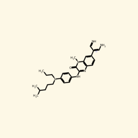 CCCN(CCCC(C)C)c1ccc(Nc2nc3ccc(/C(C=N)=C/N)cc3n(C)c2=O)cc1